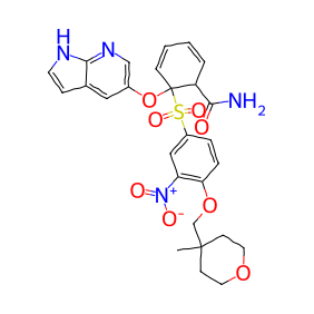 CC1(COc2ccc(S(=O)(=O)C3(Oc4cnc5[nH]ccc5c4)C=CC=CC3C(N)=O)cc2[N+](=O)[O-])CCOCC1